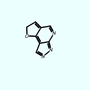 C1=NN=c2ncc3c(c21)OCC=3